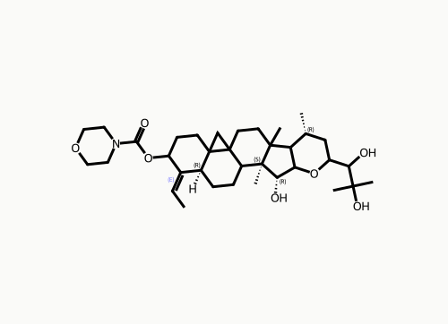 C/C=C1/C(OC(=O)N2CCOCC2)CCC23CC24CCC2(C)C5C(OC(C(O)C(C)(C)O)C[C@H]5C)[C@H](O)[C@@]2(C)C4CC[C@@H]13